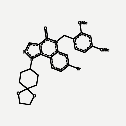 COc1ccc(Cn2c(=O)c3cnn(C4CCC5(CC4)OCCO5)c3c3ccc(Br)cc32)c(OC)c1